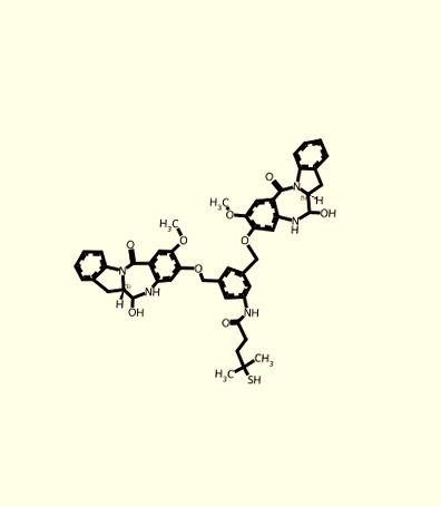 COc1cc2c(cc1OCc1cc(COc3cc4c(cc3OC)C(=O)N3c5ccccc5C[C@H]3C(O)N4)cc(NC(=O)CCC(C)(C)S)c1)NC(O)[C@@H]1Cc3ccccc3N1C2=O